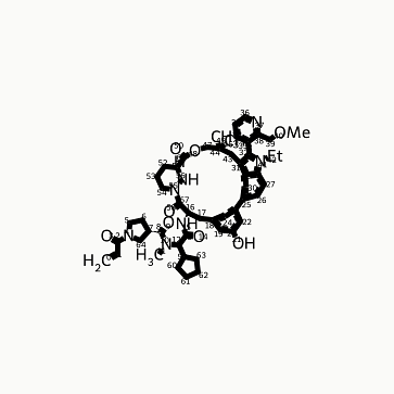 C=CC(=O)N1CC[C@H](C(=O)N(C)C(C(=O)N[C@H]2Cc3cc(O)cc(c3)-c3ccc4c(c3)c(c(-c3cccnc3COC)n4CC)CC(C)(C)COC(=O)[C@@H]3CCCN(N3)C2=O)C2CCCC2)C1